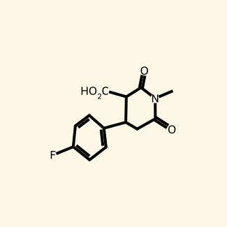 CN1C(=O)CC(c2ccc(F)cc2)C(C(=O)O)C1=O